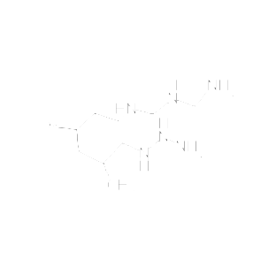 CC(CNNN)CC(CCNCNCN)C(C)C